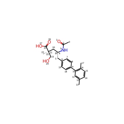 CC(=O)N[C@H](Cc1ccc(-c2cc(C)ccc2C)cc1)C[C@@](C)(CO)C(=O)O